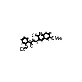 CCOc1ccccc1C(=O)C=Cc1cc2cc(OC)ccc2nc1Cl